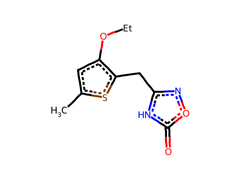 CCOc1cc(C)sc1Cc1noc(=O)[nH]1